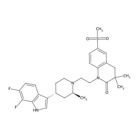 C[C@H]1C[C@H](c2c[nH]c3c(F)c(F)ccc23)CCN1CCN1C(=O)C(C)(C)Cc2cc(S(C)(=O)=O)ccc21